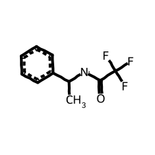 CC([N]C(=O)C(F)(F)F)c1ccccc1